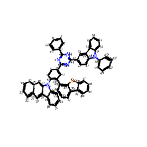 c1ccc(-c2nc(-c3ccc(-n4c5ccccc5c5cc6ccccc6cc54)c(-c4cccc5c4sc4ccccc45)c3)nc(-c3ccc4c(c3)c3ccccc3n4-c3ccccc3)n2)cc1